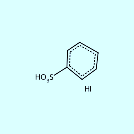 I.O=S(=O)(O)c1ccccc1